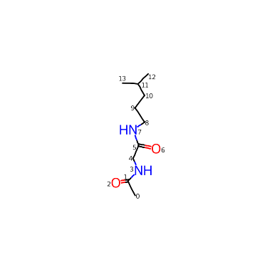 CC(=O)NCC(=O)NCCCC(C)C